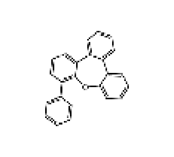 c1ccc(-c2cccc3c2Oc2ccccc2-c2ccccc2-3)cc1